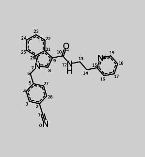 N#Cc1ccc(Cn2cc(C(=O)NCCc3ccccn3)c3ccccc32)cc1